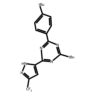 CC(C)(C)c1ccc(-c2nc(-c3cc(C(F)(F)F)n[nH]3)nc(C(C)(C)C)n2)cc1